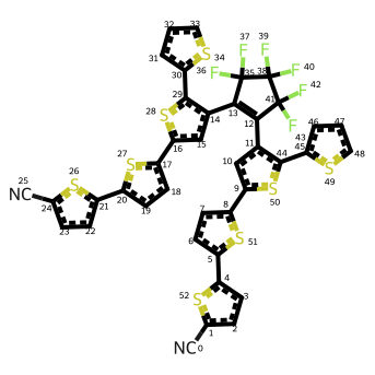 N#Cc1ccc(-c2ccc(-c3cc(C4=C(c5cc(-c6ccc(-c7ccc(C#N)s7)s6)sc5-c5cccs5)C(F)(F)C(F)(F)C4(F)F)c(-c4cccs4)s3)s2)s1